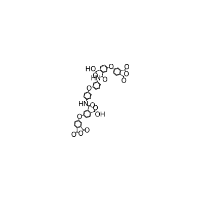 O=C(O)c1ccc(Oc2ccc3c(c2)C(=O)OC3=O)cc1C(=O)Nc1ccc(Oc2cccc(NC(=O)c3cc(Oc4ccc5c(c4)C(=O)OC5=O)ccc3C(=O)O)c2)cc1